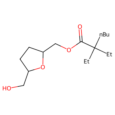 CCCCC(CC)(CC)C(=O)OCC1CCC(CO)O1